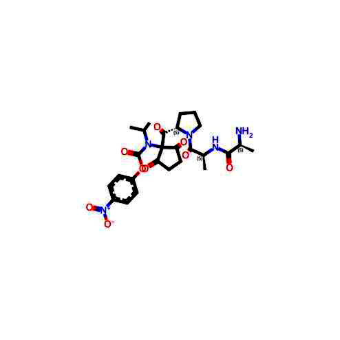 CC(C)N(C(=O)Oc1ccc([N+](=O)[O-])cc1)C1(C(=O)[C@@H]2CCCN2C(=O)[C@H](C)NC(=O)[C@H](C)N)C(=O)CCC1=O